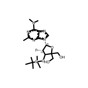 Cc1nc(N(C)C)c2ncn([C@@H]3OC(CO)(CO)C(O[Si](C)(C)C(C)(C)C)[C@@H]3F)c2n1